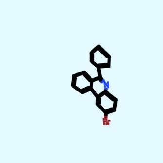 Brc1ccc2nc(-c3ccccc3)c3ccccc3c2c1